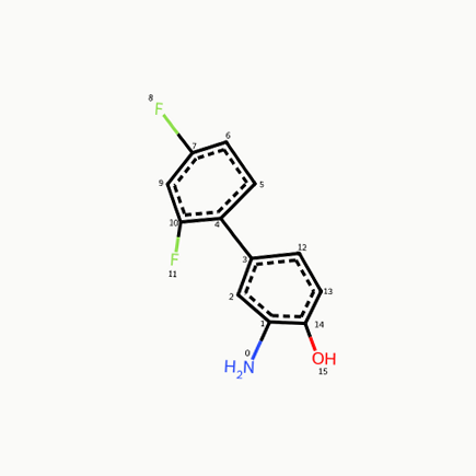 Nc1cc(-c2ccc(F)cc2F)ccc1O